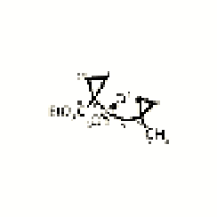 CCOC(=O)C1(S(=O)(=O)CC2(C)CC2)CC1